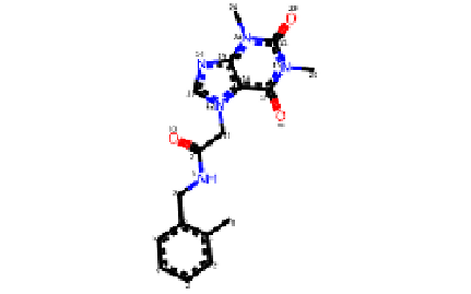 Cc1ccccc1CNC(=O)Cn1cnc2c1c(=O)n(C)c(=O)n2C